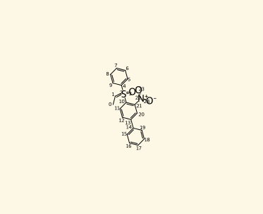 CC=S(=O)(c1ccccc1)c1ccc(-c2ccccc2)cc1[N+](=O)[O-]